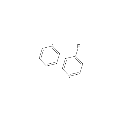 Fc1cc[c]cc1.[c]1ccccc1